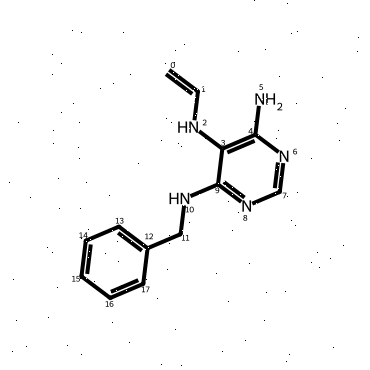 C=CNc1c(N)ncnc1NCc1ccccc1